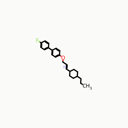 CCCC1CCC(/C=C/COc2ccc(-c3ccc(F)cc3)cc2)CC1